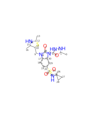 CC1NNC(n2c(=O)n(CC3SC(C)NC3C)c3ccc(S(=O)(=O)NC4(C)CC4)cc32)O1